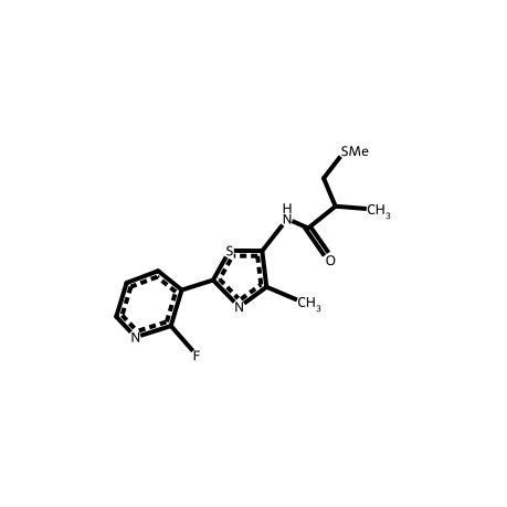 CSCC(C)C(=O)Nc1sc(-c2cccnc2F)nc1C